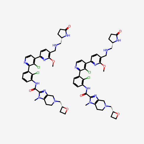 COc1nc(-c2ccnc(-c3cccc(NC(=O)c4nc5c(n4C)CCN(C[C@H]4CCO4)C5)c3Cl)c2Cl)ccc1CNC[C@@H]1CCC(=O)N1.COc1nc(-c2ccnc(-c3cccc(NC(=O)c4nc5c(n4C)CCN(C[C@H]4CCO4)C5)c3Cl)c2Cl)ccc1CNC[C@@H]1CCC(=O)N1